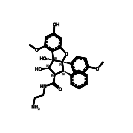 COc1ccc([C@@]23Oc4cc(O)cc(OC)c4[C@]2(O)[C@H](O)[C@H](C(=O)NCCN)[C@H]3c2ccccc2)cc1